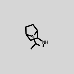 CNC1CC2CCC1N2C(C)C